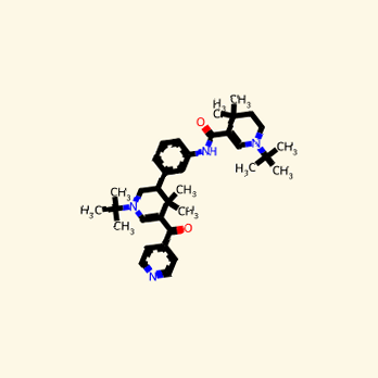 CC1(C)CCN(C(C)(C)C)C=C1C(=O)Nc1cccc(C2CN(C(C)(C)C)C=C(C(=O)c3ccncc3)C2(C)C)c1